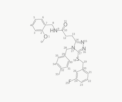 COc1ccccc1CNC(=O)CCc1nnc(SCc2cccc(F)c2)n1Cc1ccc(C)cc1